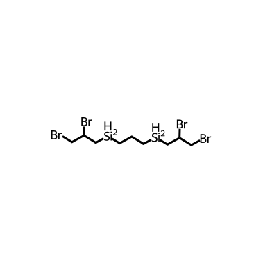 BrCC(Br)C[SiH2]CCC[SiH2]CC(Br)CBr